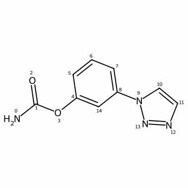 NC(=O)Oc1cccc(-n2ccnn2)c1